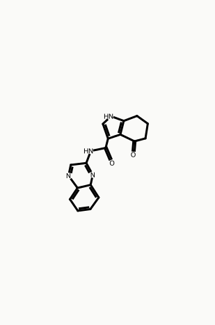 O=C(Nc1cnc2ccccc2n1)c1c[nH]c2c1C(=O)CCC2